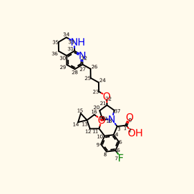 O=C(O)C(c1cc(F)ccc1C1CC2(CC2)CO1)N1CCC(OCCCCc2ccc3c(n2)NCCC3)C1